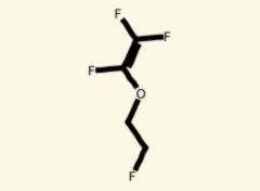 FCCOC(F)=C(F)F